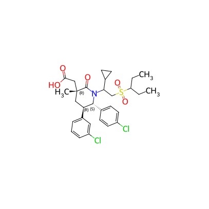 CCC(CC)S(=O)(=O)CC(C1CC1)N1C(=O)[C@@](C)(CC(=O)O)C[C@H](c2cccc(Cl)c2)[C@H]1c1ccc(Cl)cc1